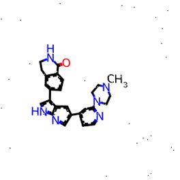 CN1CCN(c2cc(-c3cnc4[nH]cc(-c5ccc6c(c5)CCNC6=O)c4c3)ccn2)CC1